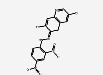 O=[N+]([O-])c1ccc(NN=C2Cc3cc(Cl)cnc3C=C2Cl)c([N+](=O)[O-])c1